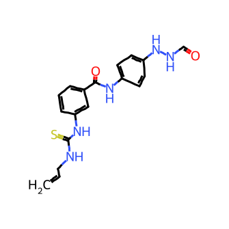 C=CCNC(=S)Nc1cccc(C(=O)Nc2ccc(NNC=O)cc2)c1